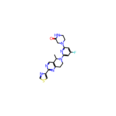 CC1c2cnc(-c3cscn3)nc2CCN1c1cc(F)cc(N2CCNC(=O)C2)n1